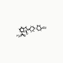 N#C[C@H]1CC[C@H](N2CCC(N3Cc4cccc(C(N)=O)c4C3=O)CC2)CC1